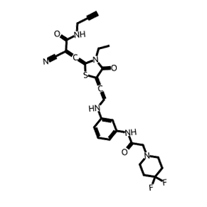 C#CCNC(=O)C(=C=c1sc(=C=CNc2cccc(NC(=O)CN3CCC(F)(F)CC3)c2)c(=O)n1CC)C#N